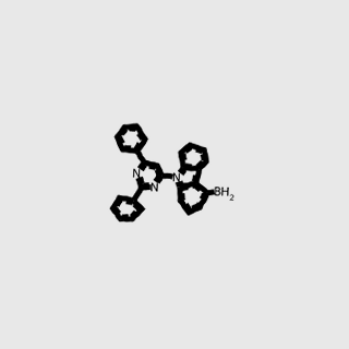 Bc1cccc2c1c1ccccc1n2-c1cc(-c2ccccc2)nc(-c2ccccc2)n1